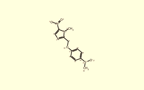 Cn1c([N+](=O)[O-])cnc1COc1ccc([S+](C)[O-])cc1